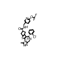 Cc1nnc2n1-c1sc3c(c1[C@H](c1ccccc1Cl)NC2)C[C@H](C(=O)NCc1ccc(OC(F)F)nc1)C3